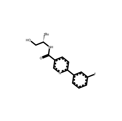 CC(C)(C)[C@@H](CO)NC(=O)c1ccc(-c2cccc(F)c2)nc1